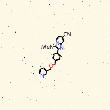 CNc1c(-c2ccc(COCc3cccnc3)cc2)nc2cc(C#N)ccn12